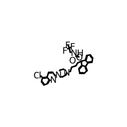 O=C(NCC(F)(F)F)OC1(CCCCN2CCN(c3ccc4c(Cl)cccc4n3)CC2)c2ccccc2-c2ccccc21